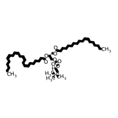 CCCCC/C=C\C/C=C\C/C=C\C/C=C\CCCCCC(=O)O[C@H](COC(=O)CCCCCCCCC/C=C\CCCCCC)COP(=O)(O)OCC[N+](C)(C)C